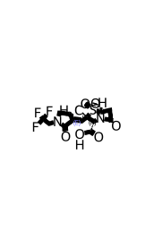 C[C@@]1(/C=C2\CCN(CC(F)(F)F)C2=O)[C@@H](C(=O)O)N2C(=O)C[C@H]2S1(=O)=O